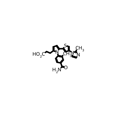 Cc1cc(C(N)=O)ccc1-n1c(CCC(=O)O)ccc1-c1cc(-n2ccnc2C)cs1